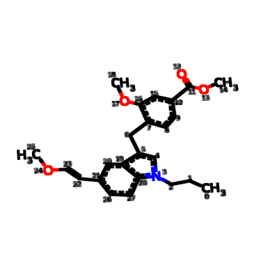 CCCn1cc(Cc2ccc(C(=O)OC)cc2OC)c2cc(C=COC)ccc21